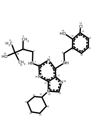 CC(CNc1nc(NCc2cccc(Cl)c2O)c2ncn(C3CCCCC3)c2n1)C(C)(C)O